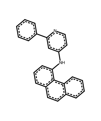 c1ccc(-c2cc(Nc3cccc4ccc5ccccc5c34)ccn2)cc1